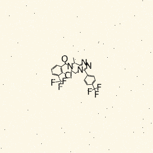 CC1c2nnc(-c3ccc(C(F)(F)F)cc3)n2CCN1C(=O)c1cccc(C(F)(F)F)c1Cl